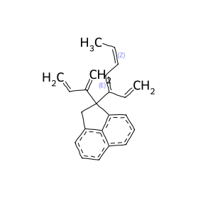 C=CC(=C)C1(/C(C=C)=C/C=C\C)Cc2cccc3cccc1c23